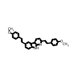 COc1ccc(C=Cc2ccc3[nH]c4nc(C=Cc5ccc(OC)cc5)ccc4c3c2)cc1